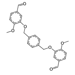 COc1ccc(C=O)cc1OCc1ccc(COc2cc(C=O)ccc2OC)cc1